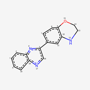 c1ccc2nc(-c3ccc4c(c3)NCCO4)cnc2c1